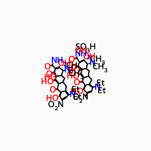 CCN(CC)c1cc([N+](=O)[O-])c(O)c2c1CC1CC3[C@H](N(C)C)C(O)=C(C(N)=O)C(=O)C3(O)C(O)=C1C2=O.CCN(CC)c1cc([N+](=O)[O-])c(O)c2c1CC1CC3[C@H](N(C)C)C(O)=C(C(N)=O)C(=O)C3(O)C(O)=C1C2=O.O=S(=O)(O)O